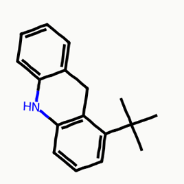 CC(C)(C)c1cccc2c1Cc1ccccc1N2